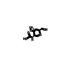 COC1C[C@@H](CO)OC[C@@H]1NC(=O)O